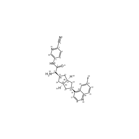 N#Cc1ccc(NC(=O)C(N)[C@H]2C[C@H]3C[C@@H](c4ccnc5ccc(F)cc45)C[C@H]3C2)cn1